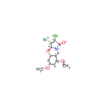 COc1ccc(CN2C(=O)C(Br)=C(Br)C2=O)c(OC)c1